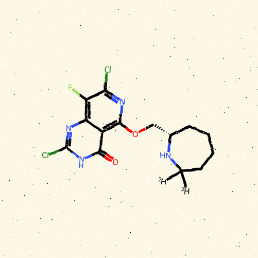 [2H]C1([2H])CCCC[C@@H](COc2nc(Cl)c(F)c3nc(Cl)[nH]c(=O)c23)N1